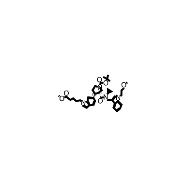 COCCCn1cc(CN(C(=O)[C@H]2CN(C(=O)OC(C)(C)C)CC[C@@H]2c2ccc3ccn(CCCCC(=O)OC)c3c2)C2CC2)c2ccccc21